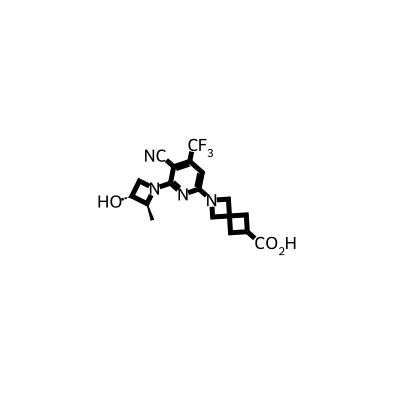 C[C@H]1[C@H](O)CN1c1nc(N2CC3(CC(C(=O)O)C3)C2)cc(C(F)(F)F)c1C#N